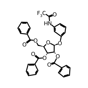 O=C(OC[C@H]1O[C@@H](Oc2cccc(NC(=O)C(F)(F)F)c2)[C@H](OC(=O)c2ccccc2)[C@@H]1OC(=O)c1ccccc1)c1ccccc1